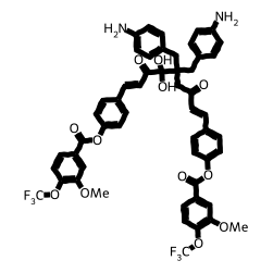 COc1cc(C(=O)Oc2ccc(C=CC(=O)CC(Cc3ccc(N)cc3)(Cc3ccc(N)cc3)C(O)(O)C(=O)C=Cc3ccc(OC(=O)c4ccc(OC(F)(F)F)c(OC)c4)cc3)cc2)ccc1OC(F)(F)F